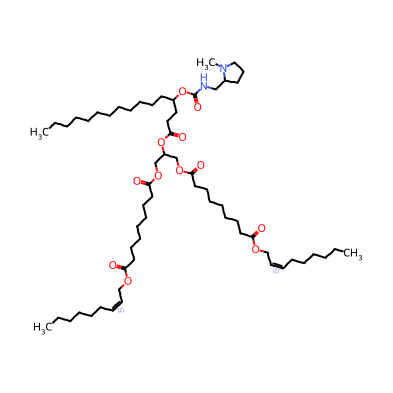 CCCCCC/C=C\COC(=O)CCCCCCCC(=O)OCC(COC(=O)CCCCCCCC(=O)OC/C=C\CCCCCC)OC(=O)CCC(CCCCCCCCCCCC)OC(=O)NCC1CCCN1C